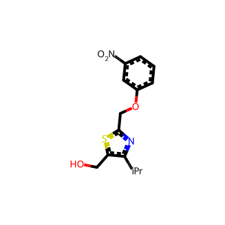 CC(C)c1nc(COc2cccc([N+](=O)[O-])c2)sc1CO